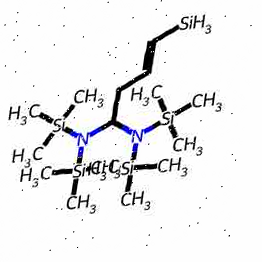 C[Si](C)(C)N(C(CC=C[SiH3])N([Si](C)(C)C)[Si](C)(C)C)[Si](C)(C)C